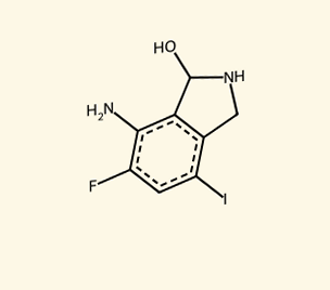 Nc1c(F)cc(I)c2c1C(O)NC2